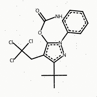 CC(C)(C)c1nn(-c2ccccc2)c(OC(N)=O)c1CC(Cl)(Cl)Cl